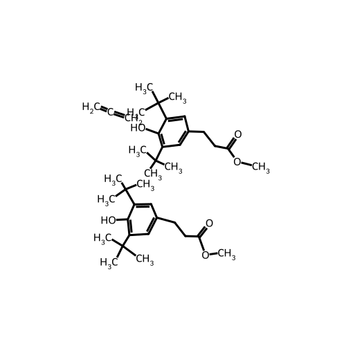 C=C=C.COC(=O)CCc1cc(C(C)(C)C)c(O)c(C(C)(C)C)c1.COC(=O)CCc1cc(C(C)(C)C)c(O)c(C(C)(C)C)c1